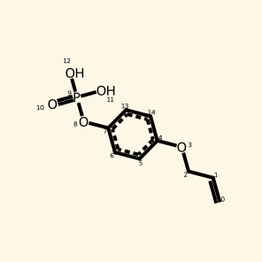 C=CCOc1ccc(OP(=O)(O)O)cc1